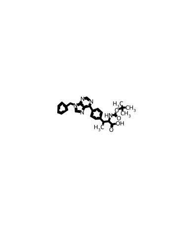 CC(c1ccc(-c2ncnc3c2ncn3Cc2ccccc2)cc1)C(NC(=O)OC(C)(C)C)C(=O)O